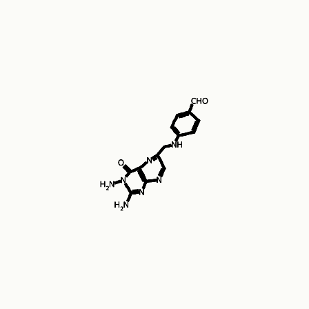 Nc1nc2ncc(CNc3ccc(C=O)cc3)nc2c(=O)n1N